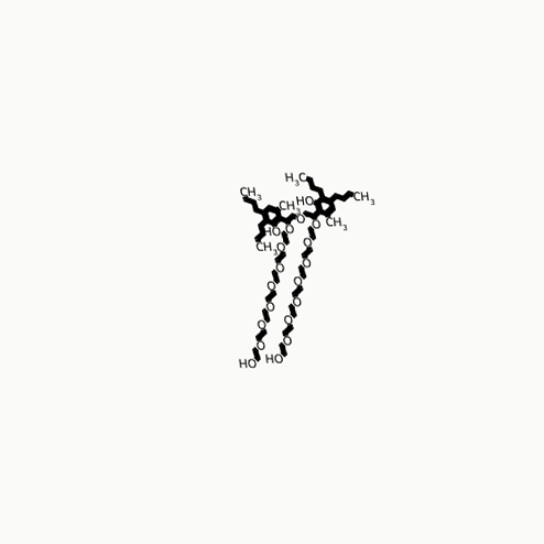 CCCCc1cc(C)c(C(COCC(OCCOCCOCCOCCOCCOCCOCCO)c2c(C)cc(CCCC)c(CCCC)c2O)OCCOCCOCCOCCOCCOCCOCCO)c(O)c1CCCC